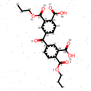 CCCOC(=O)c1ccc(C(=O)c2ccc(C(=O)O)c(C(=O)OCCC)c2)cc1C(=O)O